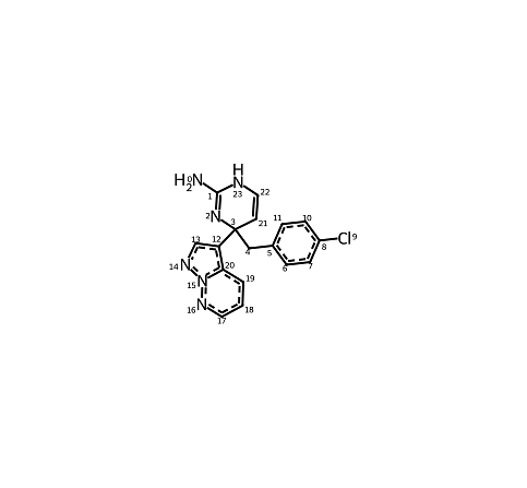 NC1=NC(Cc2ccc(Cl)cc2)(c2cnn3ncccc23)C=CN1